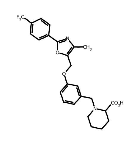 Cc1nc(-c2ccc(C(F)(F)F)cc2)oc1COc1cccc(CN2CCCCC2C(=O)O)c1